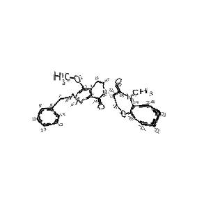 COc1c2c(nn1Cc1ccccc1)C(=O)N([C@H]1COc3ccccc3N(C)C1=O)CC2